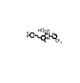 Cc1cc(CCN2CCC(F)(F)CC2)cc2c(=O)[nH]c(-c3cc(C(F)(F)F)ccn3)nc12.Cl